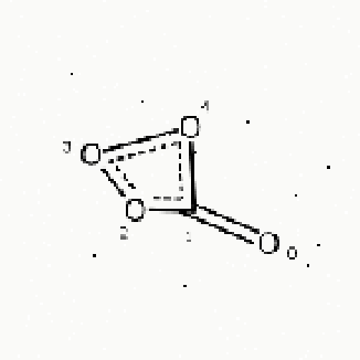 O=c1ooo1